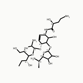 CC[C@@H](O)C(O[C@H](O[C@@H]1C=C[C@@H](NC(=O)[C@@H](O)CCN)C(O)C1O[C@@H]1O[C@H]([C@@H](C)N)C(O)C1O)C(C)N)[C@@H](O)CO